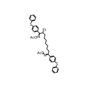 CCC(CCCCCCCC(=NOC(C)=O)c1ccc(Sc2ccccc2)cc1)C(=NOC(C)=O)c1ccc(Sc2ccccc2)cc1